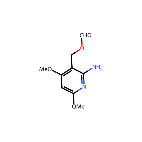 COc1cc(OC)c(COC=O)c(N)n1